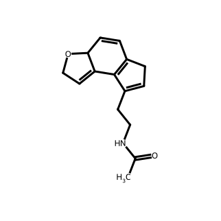 CC(=O)NCCC1=CCC2=C1C1=CCOC1C=C2